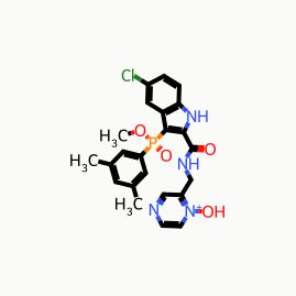 COP(=O)(c1cc(C)cc(C)c1)c1c(C(=O)NCc2cncc[n+]2O)[nH]c2ccc(Cl)cc12